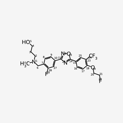 CN(CCCO)Cc1ccc(-c2noc(-c3ccc(OCCF)c(C(F)(F)F)c3)n2)cc1F